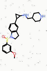 COc1cccc([S+]([O-])N2CCc3cc(C4CC4NCC4CCNCC4)ccc32)c1